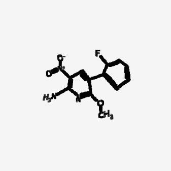 COc1nc(N)c([N+](=O)[O-])cc1-c1ccccc1F